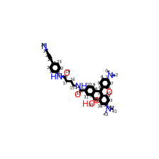 CN(C)c1ccc2c(-c3ccc(C(=O)NCCCC(=O)Nc4ccc(C#CC#N)cc4)cc3C(=O)O)c3ccc(=[N+](C)C)cc-3oc2c1